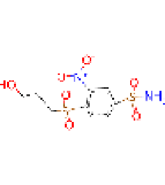 NS(=O)(=O)c1ccc(S(=O)(=O)CCCO)c([N+](=O)[O-])c1